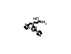 Cl.NCCCN(Cc1nccs1)c1nc(-n2ccnc2)ns1